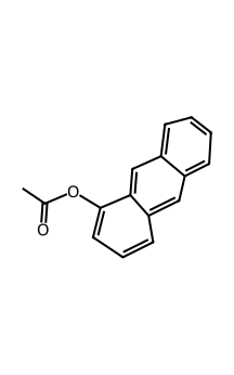 CC(=O)Oc1cccc2cc3ccccc3cc12